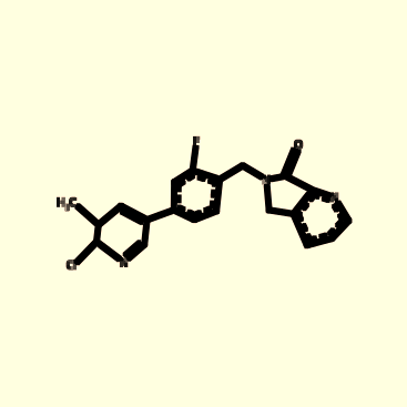 CC1C=C(c2ccc(CN3Cc4cccnc4C3=O)c(F)c2)C=NC1Cl